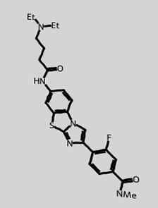 CCN(CC)CCCC(=O)Nc1ccc2c(c1)sc1nc(-c3ccc(C(=O)NC)cc3F)cn12